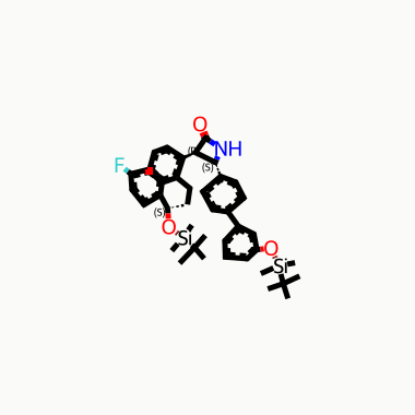 CC(C)(C)[Si](C)(C)Oc1cccc(-c2ccc([C@H]3NC(=O)[C@@H]3c3ccccc3CC[C@H](O[Si](C)(C)C(C)(C)C)c3ccc(F)cc3)cc2)c1